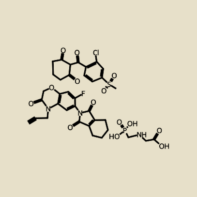 C#CCN1C(=O)COc2cc(F)c(N3C(=O)C4=C(CCCC4)C3=O)cc21.CS(=O)(=O)c1ccc(C(=O)C2C(=O)CCCC2=O)c(Cl)c1.O=C(O)CNCP(=O)(O)O